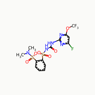 CN(C)S(=O)(=O)c1ccccc1S(=O)(=O)NC(=O)Nc1nc(F)cc(OC(F)(F)F)n1